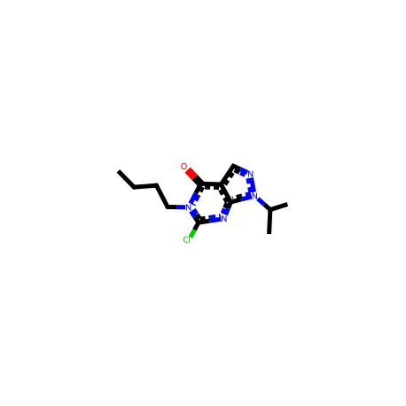 CCCCn1c(Cl)nc2c(cnn2C(C)C)c1=O